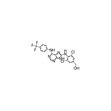 OCc1cc(Cl)c(Nc2nc3c(Nc4ccc(C(F)(F)F)cc4)ncnc3[nH]2)c(Cl)c1